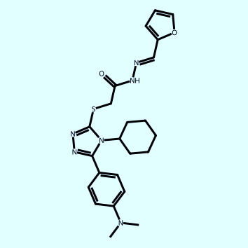 CN(C)c1ccc(-c2nnc(SCC(=O)N/N=C/c3ccco3)n2C2CCCCC2)cc1